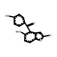 CCc1cc2c(C(=O)c3ccc(O)cc3)c(OC)ccc2o1